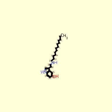 CCCCCCCCCCCCCCNCCc1c[nH]c2ccc(O)cc12